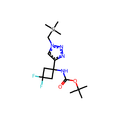 CC(C)(C)OC(=O)NC1(c2cn(C[Si](C)(C)C)nn2)CC(F)(F)C1